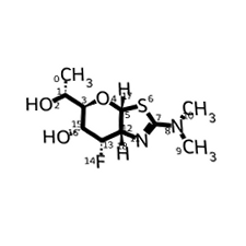 C[C@@H](O)[C@H]1O[C@@H]2SC(N(C)C)=N[C@@H]2[C@H](F)[C@@H]1O